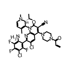 C=CC(=O)N1CCN(c2c(C#N)c(=O)n(C3=C(C)C=CN(C)[C@@H]3C(C)C)c3nc(-c4c(N)c(F)c(F)c(Cl)c4F)c(Cl)cc23)CC1